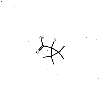 CC1(C)C(C)(C)C1(Br)C(=O)O